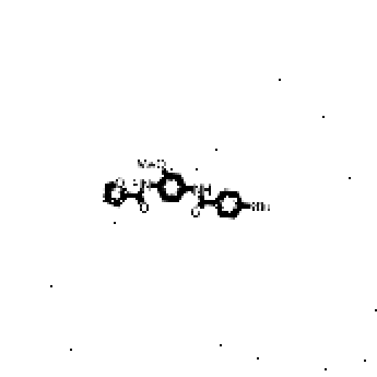 COc1cc(NC(=O)c2ccc(C(C)(C)C)cc2)ccc1NC(=O)c1ccco1